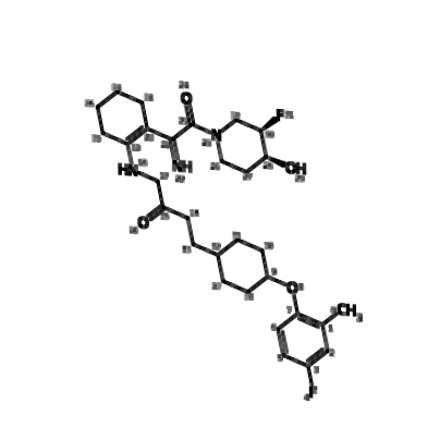 Cc1cc(F)ccc1OC1CCC(CCC(=O)CNC2=C(C(=N)C(=O)N3CC[C@H](O)[C@H](F)C3)CCCC2)CC1